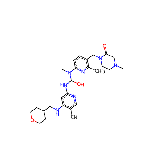 CN1CCN(Cc2ccc(N(C)C(O)Nc3cc(NCC4CCOCC4)c(C#N)cn3)nc2C=O)C(=O)C1